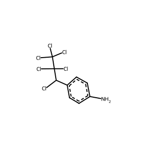 Nc1ccc(C(Cl)C(Cl)(Cl)C(Cl)(Cl)Cl)cc1